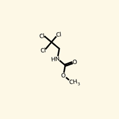 COC(=O)NCC(Cl)(Cl)Cl